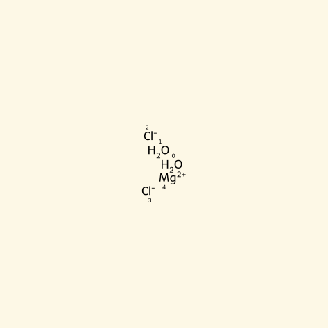 O.O.[Cl-].[Cl-].[Mg+2]